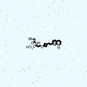 CC(C)(C)OC(=O)N[C@@H](CCOC1CC(CCc2ccc3c(n2)NCCC3)C1)C(=O)O